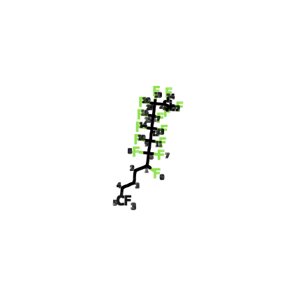 FC(CCCC(F)(F)F)C(F)(F)C(F)(F)C(F)(F)C(F)(F)C(F)(F)[Si](F)(F)F